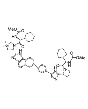 COC(=O)N[C@H](C(=O)N1CCC[C@H]1c1ncc(-c2ccc(-c3ccc4c(ccc5nc([C@@H]6C[Si](C)(C)CN6C(=O)[C@@H](NC(=O)OC)C6CCCCC6)[nH]c54)c3)cc2)[nH]1)C1CCCCC1